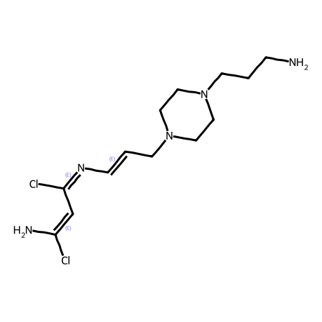 NCCCN1CCN(C/C=C/N=C(Cl)\C=C(/N)Cl)CC1